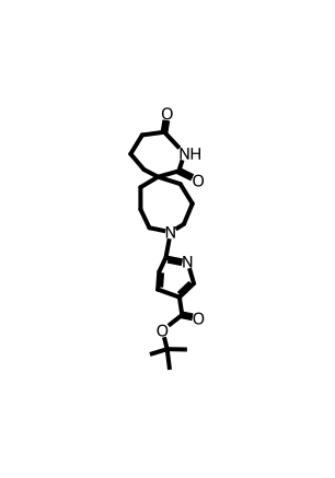 CC(C)(C)OC(=O)c1ccc(N2CCCC3(CCCC(=O)NC3=O)CCC2)nc1